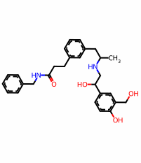 CC(Cc1cccc(CCC(=O)NCc2ccccc2)c1)NCC(O)c1ccc(O)c(CO)c1